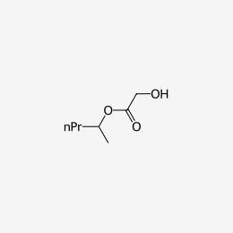 CCCC(C)OC(=O)CO